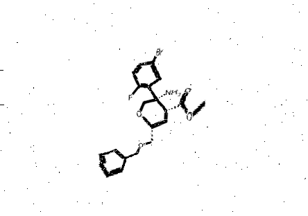 COC(=O)[C@@H]1C[C@H](COCc2ccccc2)OC[C@@]1(N)c1cc(Br)ccc1F